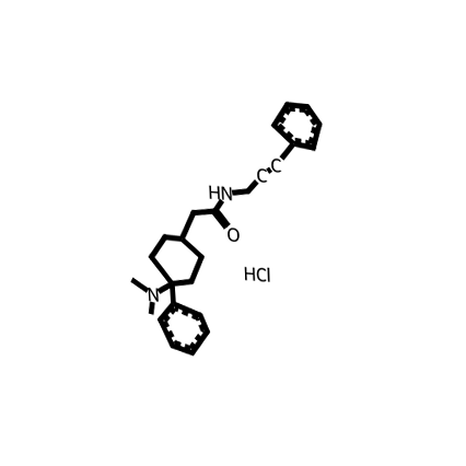 CN(C)C1(c2ccccc2)CCC(CC(=O)NCCCc2ccccc2)CC1.Cl